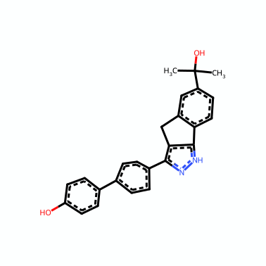 CC(C)(O)c1ccc2c(c1)Cc1c(-c3ccc(-c4ccc(O)cc4)cc3)n[nH]c1-2